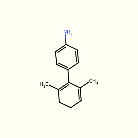 CC1=CCCC(C)=C1c1ccc(N)cc1